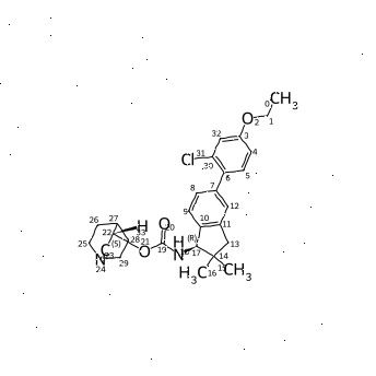 CCOc1ccc(-c2ccc3c(c2)CC(C)(C)[C@H]3NC(=O)O[C@@H]2CN3CCC2CC3)c(Cl)c1